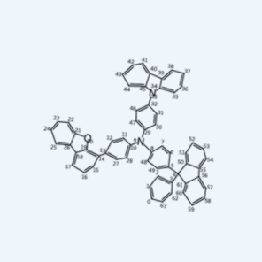 c1ccc(C2(c3ccc(N(c4ccc(-c5cccc6c5oc5ccccc56)cc4)c4ccc(-n5c6ccccc6c6ccccc65)cc4)cc3)c3ccccc3-c3ccccc32)cc1